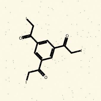 O=C(CI)c1cc(C(=O)CI)cc(C(=O)CI)c1